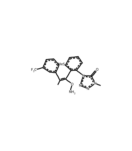 CSc1cccc(-n2nnn(C)c2=O)c1/C(ON)=C(/C)c1cccc(C(F)(F)F)c1